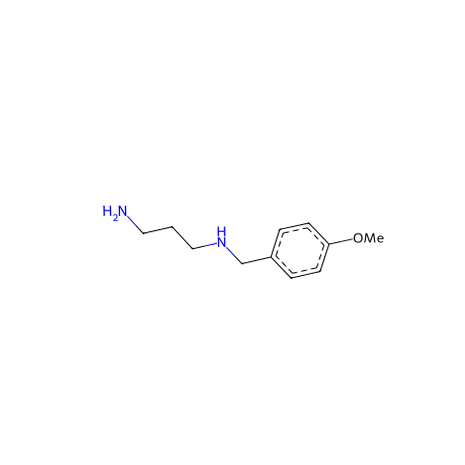 COc1ccc(CNCCCN)cc1